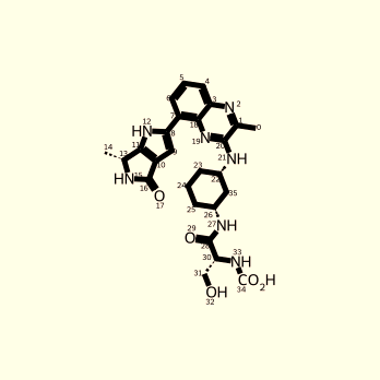 Cc1nc2cccc(-c3cc4c([nH]3)[C@@H](C)NC4=O)c2nc1N[C@H]1CCC[C@@H](NC(=O)[C@@H](CO)NC(=O)O)C1